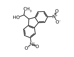 CC(O)C1c2ccc([N+](=O)[O-])cc2-c2cc([N+](=O)[O-])ccc21